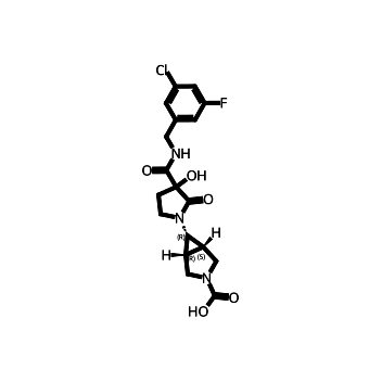 O=C(O)N1C[C@@H]2[C@H](C1)[C@@H]2N1CCC(O)(C(=O)NCc2cc(F)cc(Cl)c2)C1=O